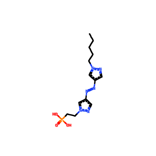 CCCCCn1cc(/N=N/c2cnn(CCP(=O)(O)O)c2)cn1